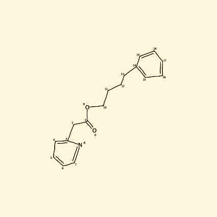 O=C(Cc1ccccn1)OCCCCc1ccccc1